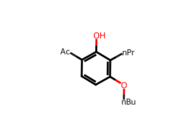 CCCCOc1ccc(C(C)=O)c(O)c1CCC